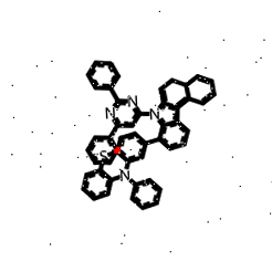 C1=CC2=c3c(n(-c4cc(-c5ccccc5)nc(-c5ccccc5)n4)c4c(-c5ccc6c(c5)N(c5ccccc5)c5ccccc5S6)cccc34)=CCC2C=C1